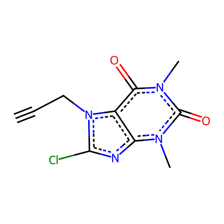 C#CCn1c(Cl)nc2c1c(=O)n(C)c(=O)n2C